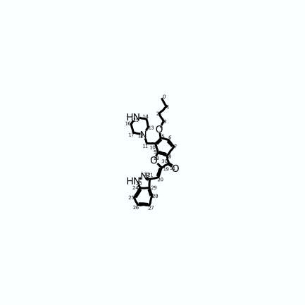 CCCCOc1ccc2c(c1CN1CCNCC1)OC(=Cc1n[nH]c3ccccc13)C2=O